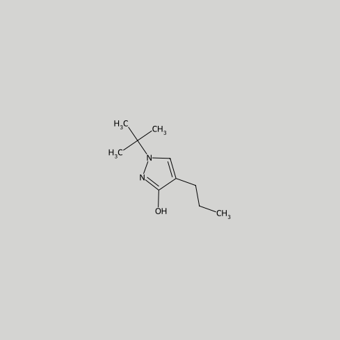 CCCc1cn(C(C)(C)C)nc1O